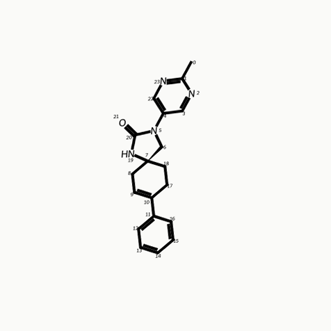 Cc1ncc(N2C[C@@]3(CC=C(c4ccccc4)CC3)NC2=O)cn1